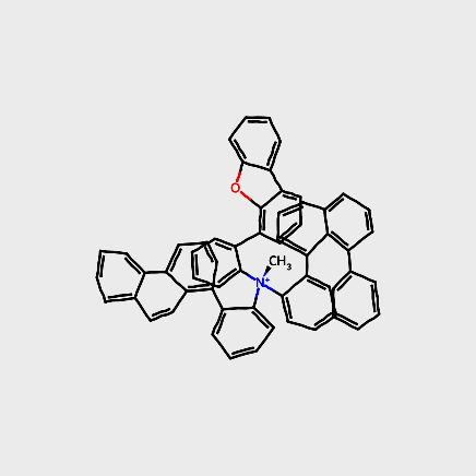 C[N@@+](c1ccccc1-c1cccc2c1ccc1ccccc12)(c1ccccc1-c1cccc2c1oc1ccccc12)c1ccccc1-c1cccc2cccc(-c3ccccc3)c12